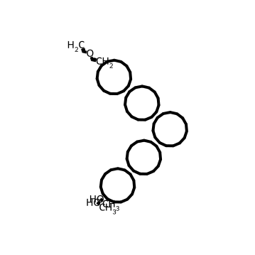 C1CCCCCCCCCCCCCC1.C1CCCCCCCCCCCCCC1.C1CCCCCCCCCCCCCC1.C1CCCCCCCCCCCCCC1.C1CCCCCCCCCCCCCC1.C=COC=C.CO.CO